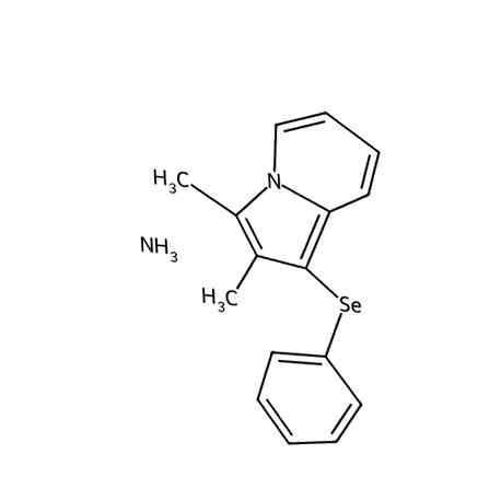 Cc1c([Se]c2ccccc2)c2ccccn2c1C.N